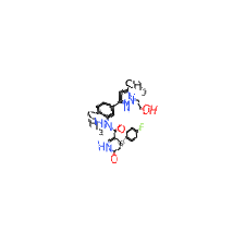 Cc1ccc(-c2cc(C)n(CCO)n2)cc1NC(=O)C1=CNC(=O)C[C@H]1c1ccc(F)cc1